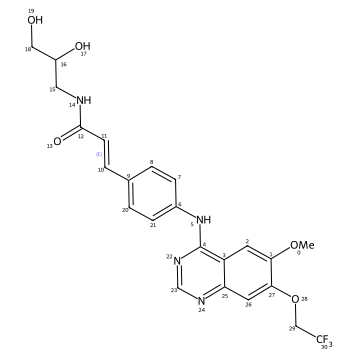 COc1cc2c(Nc3ccc(/C=C/C(=O)NCC(O)CO)cc3)ncnc2cc1OCC(F)(F)F